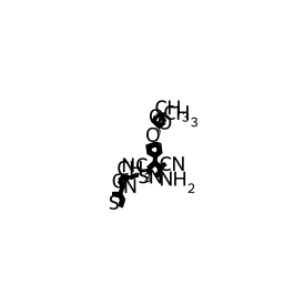 Cc1oc(-c2ccsc2)nc1CSc1nc(N)c(C#N)c(-c2ccc(OC[C@@H]3COC(C)(C)O3)cc2)c1C#N